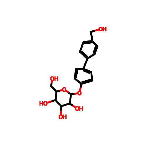 OCc1ccc(-c2ccc(OC3OC(CO)C(O)C(O)C3O)cc2)cc1